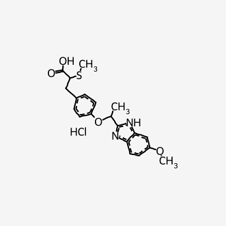 COc1ccc2nc(C(C)Oc3ccc(CC(SC)C(=O)O)cc3)[nH]c2c1.Cl